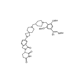 CC/C(=C\NC)c1cc(OC)c(CN2CCC(CN3CCC4(CC3)CN(c3ccc5c(c3)C(=O)N(C3CCC(=O)NC3=O)C5)C4)CC2)c(OC)c1